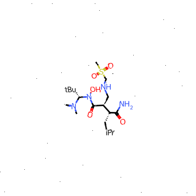 CC(C)C[C@@H](C(N)=O)[C@H](CNCS(C)(=O)=O)C(=O)N(O)[C@H](N(C)C)C(C)(C)C